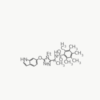 CCn1c(Oc2ccc3cc[nH]c3c2)nnc1[C@@H](C)NS(=O)(=O)c1c(C)c(C)c(C)c(C)c1C